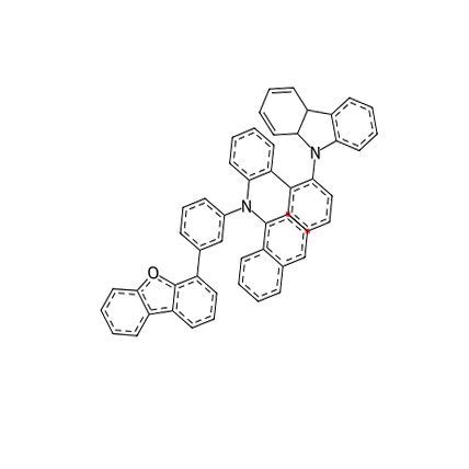 C1=CC2c3ccccc3N(c3ccccc3-c3ccccc3N(c3cccc(-c4cccc5c4oc4ccccc45)c3)c3cccc4ccccc34)C2C=C1